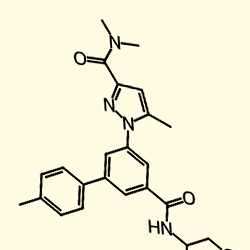 COCC(C)NC(=O)c1cc(-c2ccc(C)cc2)cc(-n2nc(C(=O)N(C)C)cc2C)c1